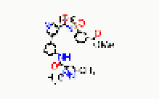 COC(=O)c1cccc(S(C)(=O)=NC(=O)c2cncc(-c3cccc(NC(=O)c4cc(C)nn4C)c3)c2)c1